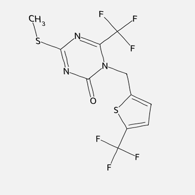 CSc1nc(C(F)(F)F)n(Cc2ccc(C(F)(F)F)s2)c(=O)n1